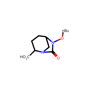 CCCCON1C(=O)N2CC1CCC2C(=O)O